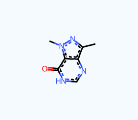 Cc1nn(C)c2c(=O)[nH]cnc12